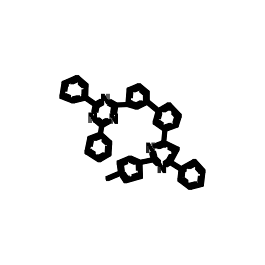 Cc1ccc(-c2nc(-c3ccccc3)cc(-c3cccc(-c4cccc(-c5nc(-c6ccccc6)nc(-c6ccccc6)n5)c4)c3)n2)cc1